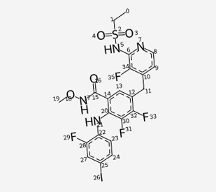 CCS(=O)(=O)Nc1nccc(Cc2cc(C(=O)NOC)c(Nc3ccc(I)cc3F)c(F)c2F)c1F